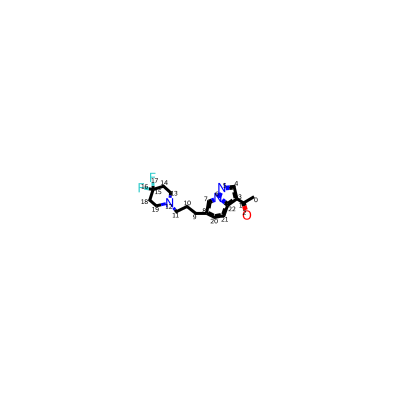 CC(=O)c1cnn2cc(CCCN3CCC(F)(F)CC3)ccc12